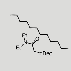 CCCCCCCCCCCC.CCCCCCCCCCCC(=O)N(CC)CC